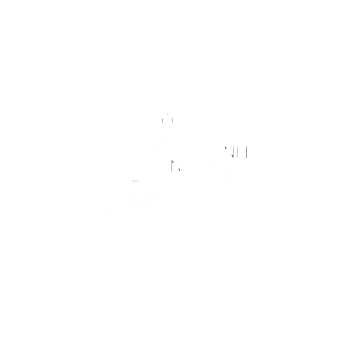 COC1=CC(c2cc3ccc(C)cc3s2)=N/C1=C\c1[nH]c(C)cc1C